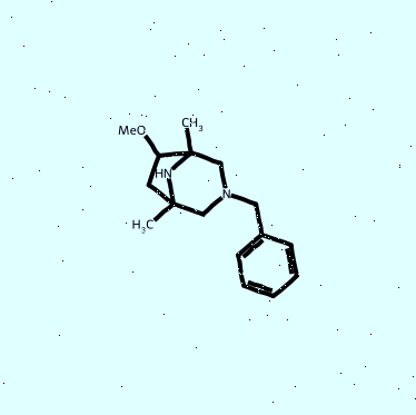 COC1CC2(C)CN(Cc3ccccc3)CC1(C)N2